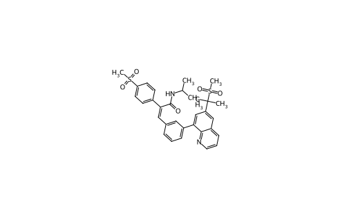 CC(C)NC(=O)C(=Cc1cccc(-c2cc(C(C)(C)S(C)(=O)=O)cc3cccnc23)c1)c1ccc(S(C)(=O)=O)cc1